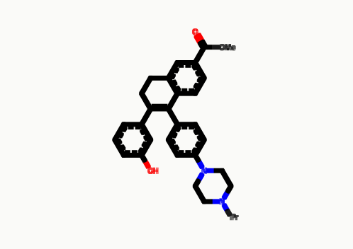 COC(=O)c1ccc2c(c1)CCC(c1cccc(O)c1)=C2c1ccc(N2CCN(C(C)C)CC2)cc1